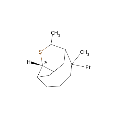 CCC1(C)CCCC2CC3CC1C(C)S[C@@H]23